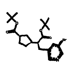 CC(C)(C)OC(=O)[C@@H](Cc1cncc(Br)c1)[C@H]1CCN(C(=O)OC(C)(C)C)C1